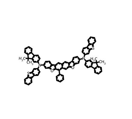 CC1(C)c2ccccc2-c2ccc(N(c3ccc4c(c3)oc3cc5c(-c6ccccc6)c6oc7cc(N(c8ccc9c(c8)C(C)(C)c8ccccc8-9)c8ccc9c(c8)sc8ccccc89)ccc7c6cc5cc34)c3ccc4c(c3)sc3ccccc34)cc21